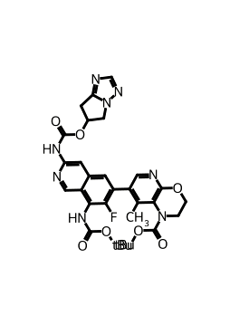 Cc1c(-c2cc3cc(NC(=O)OC4Cc5ncnn5C4)ncc3c(NC(=O)OC(C)(C)C)c2F)cnc2c1N(C(=O)OC(C)(C)C)CCO2